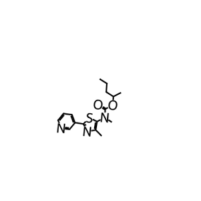 CCCC(C)OC(=O)N(C)c1sc(-c2cccnc2)nc1C